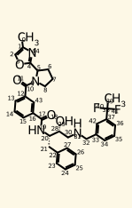 Cc1coc(C2CCCN2C(=O)c2cccc(C(=O)N[C@@H](Cc3ccccc3)[C@H](O)CNCc3cccc(C(C)(F)F)c3)c2)n1